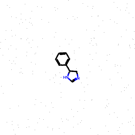 C1=NCC(c2ccccc2)N1